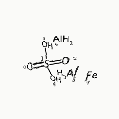 O=S(=O)(O)O.[AlH3].[AlH3].[Fe]